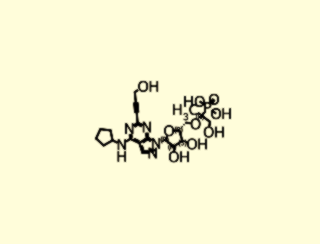 C[C@@](CO)(OC[C@H]1O[C@@H](n2ncc3c(NC4CCCC4)nc(C#CCO)nc32)[C@H](O)[C@@H]1O)P(=O)(O)O